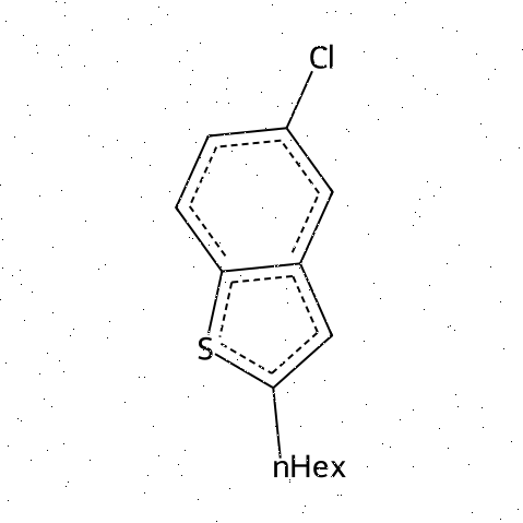 [CH2]CCCCCc1cc2cc(Cl)ccc2s1